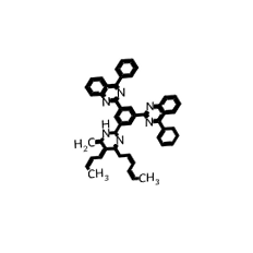 C=C1NC(c2cc(-c3nc(C4=CC=CCC4)c4ccccc4n3)cc(-c3nc(-c4ccccc4)c4ccccc4n3)c2)N=C(C/C=C\C=C/C)/C1=C/C=C\C